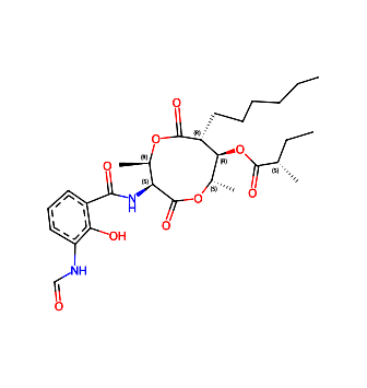 CCCCCC[C@H]1C(=O)O[C@H](C)[C@H](NC(=O)c2cccc(NC=O)c2O)C(=O)O[C@@H](C)[C@@H]1OC(=O)[C@@H](C)CC